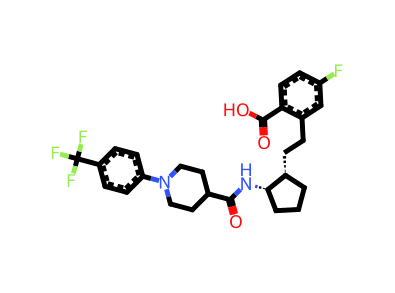 O=C(O)c1ccc(F)cc1CC[C@@H]1CCC[C@@H]1NC(=O)C1CCN(c2ccc(C(F)(F)F)cc2)CC1